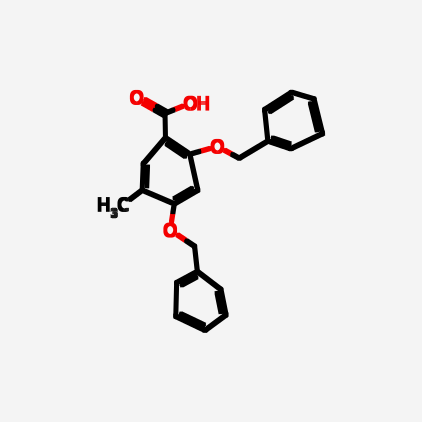 Cc1cc(C(=O)O)c(OCc2ccccc2)cc1OCc1ccccc1